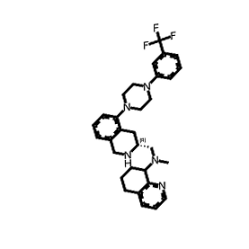 CN(C[C@H]1Cc2c(cccc2N2CCN(c3cccc(C(F)(F)F)c3)CC2)CN1)C1CCCc2cccnc21